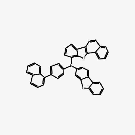 c1ccc2c(-c3ccc(N(c4ccc5c(c4)oc4ccccc45)c4cccc5c4oc4c6ccccc6ccc54)cc3)cccc2c1